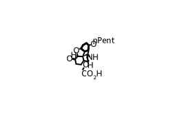 CCCCCOc1ccc2c3c1C[C@H]1NCC[C@@]34[C@@H](O2)C(=O)CCC14OCC(=O)O